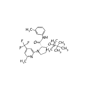 Cc1cccc(NC(=O)[C@@H]2[C@H](O[Si](C)(C)C(C)(C)C)CCN2c2cc(C(F)(F)F)cc(C)n2)c1